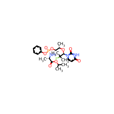 CC(C)OC(=O)[C@H](C)NP(=O)(OC[C@H](C)O[C@@H](n1ccc(=O)[nH]c1=O)C(C)(C)F)Oc1ccccc1